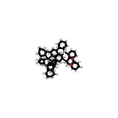 c1ccc(-c2cccc(N(c3ccccc3-c3ccc4c(c3)-c3ccccc3C43c4ccccc4-n4c5ccccc5c5cccc3c54)c3ccc(-c4ccccc4)cc3-c3ccccc3)c2)cc1